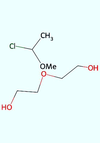 COC(C)Cl.OCCOCCO